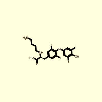 NCCCCN[C@@H](Cc1cc(I)c(Oc2cc(I)c(O)c(I)c2)c(I)c1)C(=O)O